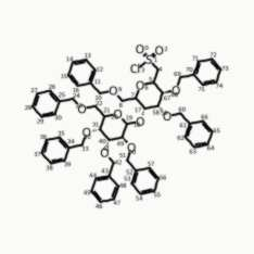 O=S(=O)(Cl)CC1OC(COCc2ccccc2)[C@@H](OC2OC(COCc3ccccc3)[C@@H](OCc3ccccc3)[C@@H](OCc3ccccc3)[C@@H]2OCc2ccccc2)[C@@H](OCc2ccccc2)[C@@H]1OCc1ccccc1